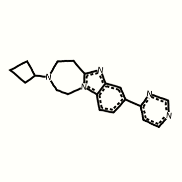 c1cc(-c2ccc3c(c2)nc2n3CCN(C3CCC3)CC2)ncn1